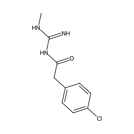 CNC(=N)NC(=O)Cc1ccc(Cl)cc1